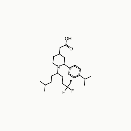 CC(C)CCC(CCC(F)(F)F)N1CCC(CC(=O)O)CC1c1ccc(C(C)C)cc1